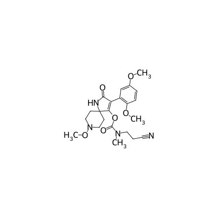 COc1ccc(OC)c(C2=C(OC(=O)N(C)CCC#N)C3(CCN(OC)CC3)NC2=O)c1